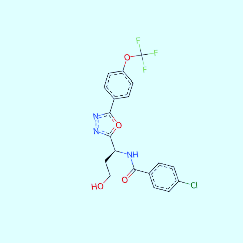 O=C(N[C@@H](CCO)c1nnc(-c2ccc(OC(F)(F)F)cc2)o1)c1ccc(Cl)cc1